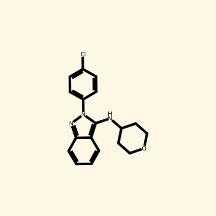 Clc1ccc(-n2nc3ccccc3c2NC2CCOCC2)cc1